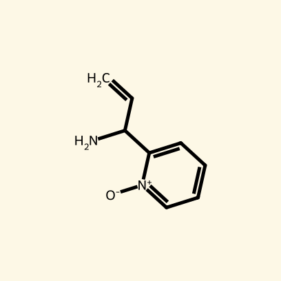 C=CC(N)c1cccc[n+]1[O-]